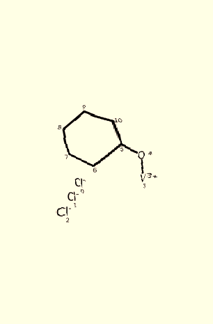 [Cl-].[Cl-].[Cl-].[V+3][O]C1CCCCC1